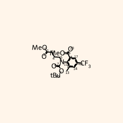 COC(=O)CCCN(C(=O)OC(C)(C)C)c1c(C)cc(C(F)(F)F)cc1C(=O)OC